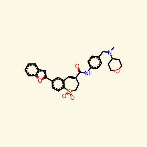 CN(Cc1ccc(NC(=O)C2=Cc3cc(-c4cc5ccccc5o4)ccc3S(=O)(=O)CC2)cc1)C1CCOCC1